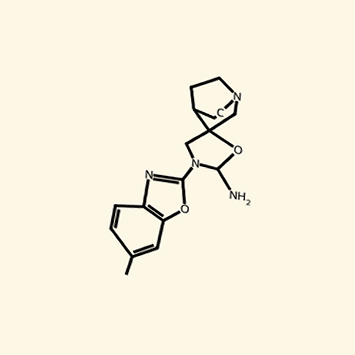 Cc1ccc2nc(N3CC4(CN5CCC4CC5)OC3N)oc2c1